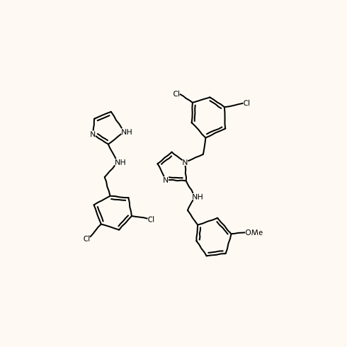 COc1cccc(CNc2nccn2Cc2cc(Cl)cc(Cl)c2)c1.Clc1cc(Cl)cc(CNc2ncc[nH]2)c1